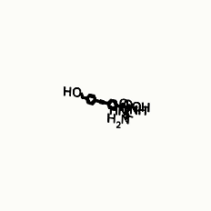 C[C@@H](N)[C@H](NC(=O)c1ccc(C#Cc2ccc(CCO)cc2)cc1)C(=O)NO